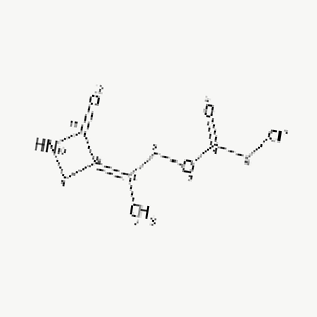 CC(COC(=O)CCl)=C1CNC1=O